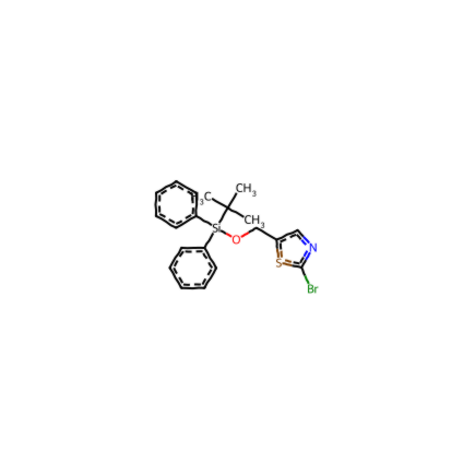 CC(C)(C)[Si](OCc1cnc(Br)s1)(c1ccccc1)c1ccccc1